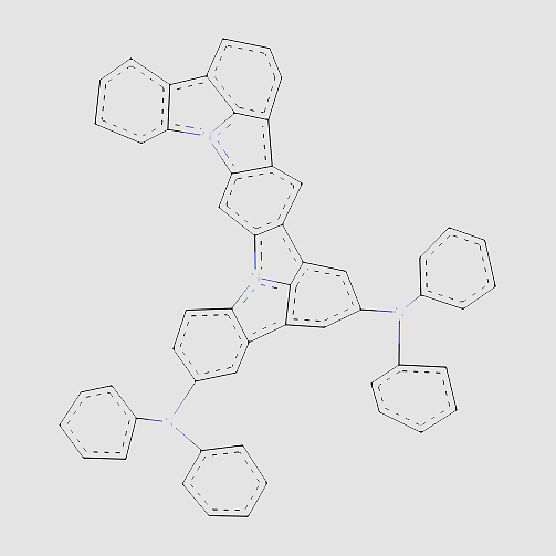 c1ccc(N(c2ccccc2)c2ccc3c(c2)c2cc(N(c4ccccc4)c4ccccc4)cc4c5cc6c7cccc8c9ccccc9n(c6cc5n3c24)c87)cc1